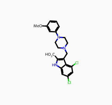 COc1cccc(N2CCN(Cc3c(C(=O)O)[nH]c4cc(Cl)cc(Cl)c34)CC2)c1